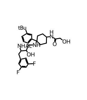 CC(=O)NC(Cc1cc(F)cc(F)c1)C(O)CNC1(c2cccc(C(C)(C)C)c2)CCC(NC(=O)CO)CC1